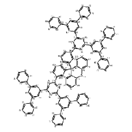 c1ccc(-c2cc(-c3ccccc3)cc(-c3nc(-c4cc(-c5ccccc5)cc(-c5ccccc5)c4)nc(-c4cccc(C5(c6cccc(-c7nc(-c8cc(-c9ccccc9)cc(-c9ccccc9)c8)nc(-c8cc(-c9ccccc9)cc(-c9ccccc9)c8)n7)c6)c6ccccc6Sc6ccccc65)c4)n3)c2)cc1